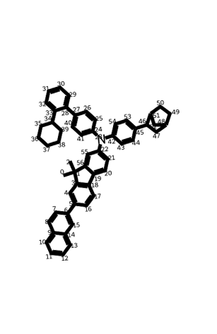 CC1(C)c2cc(-c3ccc4ccccc4c3)ccc2-c2ccc(N(c3ccc(-c4ccccc4C4CCCCC4)cc3)c3ccc(C4CC5CCC4C5)cc3)cc21